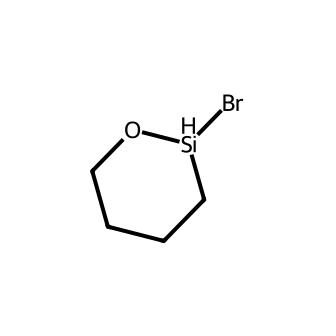 Br[SiH]1CCCCO1